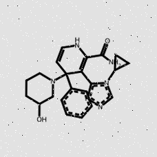 NC(=O)C1=C(c2nncn2C2CC2)C(c2ccccc2)(N2CCCC(O)C2)C=CN1